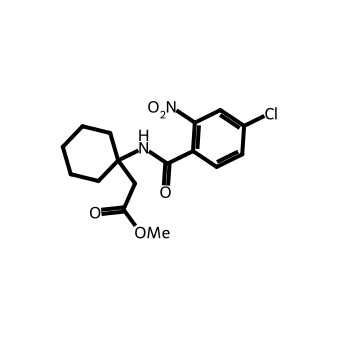 COC(=O)CC1(NC(=O)c2ccc(Cl)cc2[N+](=O)[O-])CCCCC1